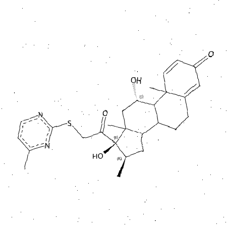 Cc1ccnc(SCC(=O)[C@@]2(O)[C@H](C)CC3C4CCC5=CC(=O)C=CC5(C)C4[C@@H](O)CC32C)n1